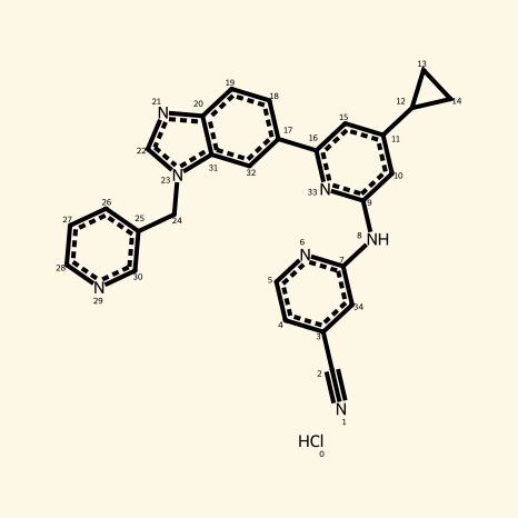 Cl.N#Cc1ccnc(Nc2cc(C3CC3)cc(-c3ccc4ncn(Cc5cccnc5)c4c3)n2)c1